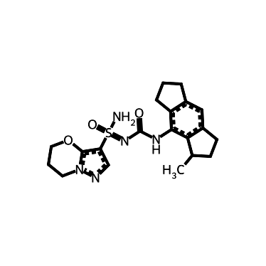 CC1CCc2cc3c(c(NC(=O)N=S(N)(=O)c4cnn5c4OCCC5)c21)CCC3